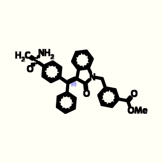 C=S(N)(=O)c1ccc(/C(=C2/C(=O)N(Cc3cccc(C(=O)OC)c3)c3ccccc32)c2ccccc2)cc1